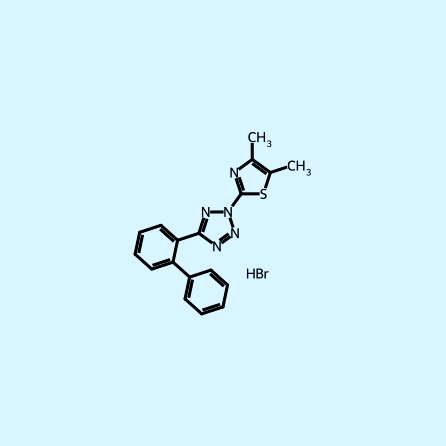 Br.Cc1nc(-n2nnc(-c3ccccc3-c3ccccc3)n2)sc1C